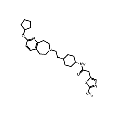 Cc1ncc(CC(=O)N[C@H]2CC[C@H](CCN3CCc4ccc(OC5CCCC5)nc4CC3)CC2)s1